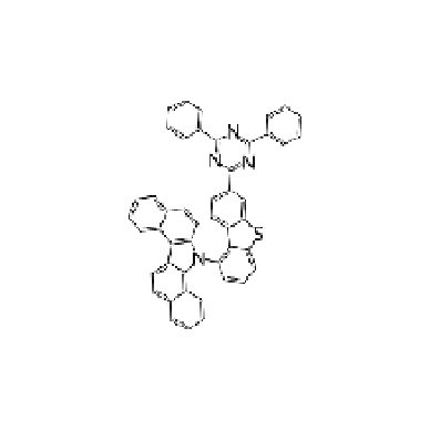 c1ccc(-c2nc(-c3ccccc3)nc(-c3ccc4c(c3)sc3cccc(-n5c6ccc7ccccc7c6c6ccc7ccccc7c65)c34)n2)cc1